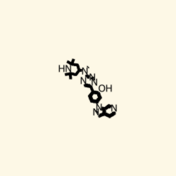 CN(c1ncc(-c2ccc(-n3ncc4ccncc43)cc2O)nn1)C1CC(C)(C)NC(C)(C)C1